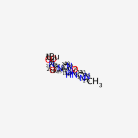 Cc1cn2cc(NC(=O)N3CCc4c(N5CCC6(CN(C(=O)OC(C)(C)C)CCO6)C5)ccnc43)ccc2n1